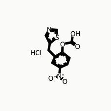 Cl.O=C(O)Oc1ccc([N+](=O)[O-])cc1Cc1cncs1